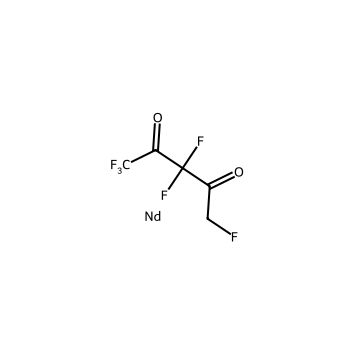 O=C(CF)C(F)(F)C(=O)C(F)(F)F.[Nd]